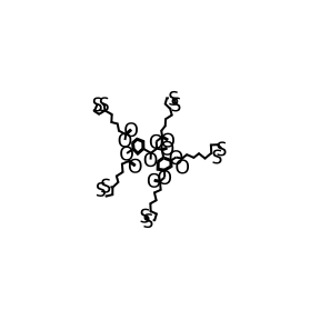 O=C(CCCCC1CCSS1)Oc1cc(OC(=O)CCCCC2CCSS2)c2c(c1)OC(c1ccc(OC(=O)CCCCC3CCSS3)c(OC(=O)CCCCC3CCSS3)c1)C(OC(=O)CCCCC1CCSS1)C2=O